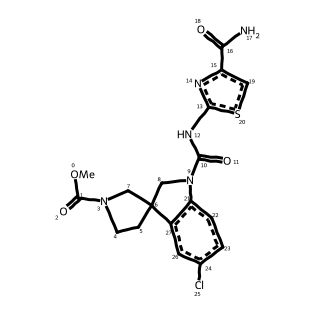 COC(=O)N1CCC2(C1)CN(C(=O)Nc1nc(C(N)=O)cs1)c1ccc(Cl)cc12